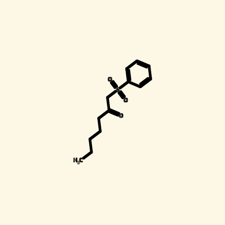 CCCCCC(=O)CS(=O)(=O)c1ccccc1